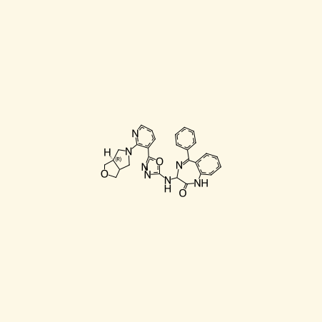 O=C1Nc2ccccc2C(c2ccccc2)=NC1Nc1nnc(-c2cccnc2N2CC3COC[C@H]3C2)o1